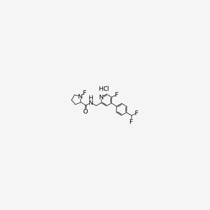 Cl.O=C(NCc1cc(-c2ccc(C(F)F)cc2)c(F)cn1)C1CCCN1F